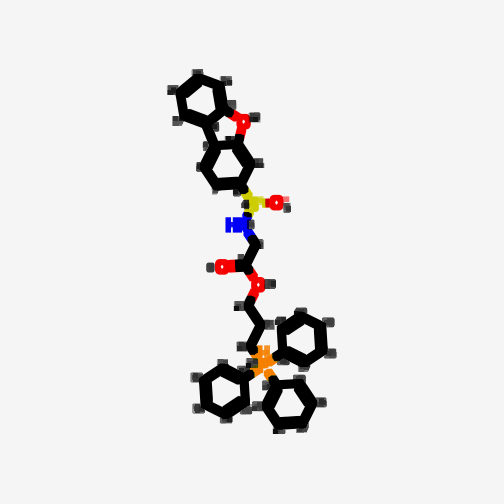 O=C(CN[S+]([O-])c1ccc2c(c1)oc1ccccc12)OCCC[PH](c1ccccc1)(c1ccccc1)c1ccccc1